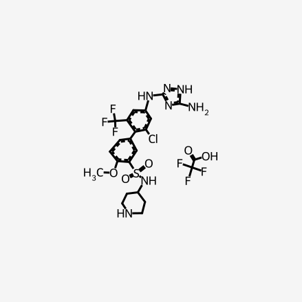 COc1ccc(-c2c(Cl)cc(Nc3n[nH]c(N)n3)cc2C(F)(F)F)cc1S(=O)(=O)NC1CCNCC1.O=C(O)C(F)(F)F